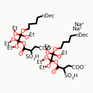 CCCCCCCCCCCCCCOC(OCC)(OCC)C(OCC)(OCC)OC(=O)C(CC(=O)[O-])S(=O)(=O)O.CCCCCCCCCCCCCCOC(OCC)(OCC)C(OCC)(OCC)OC(=O)C(CC(=O)[O-])S(=O)(=O)O.[Na+].[Na+]